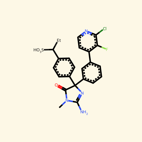 CCC(c1ccc(C2(c3cccc(-c4ccnc(Cl)c4F)c3)N=C(N)N(C)C2=O)cc1)S(=O)(=O)O